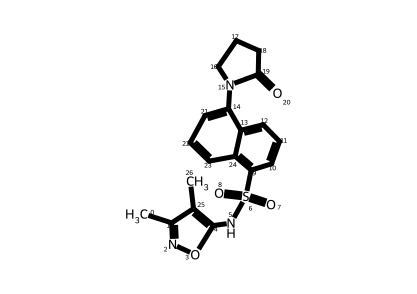 Cc1noc(NS(=O)(=O)c2cccc3c(N4CCCC4=O)cccc23)c1C